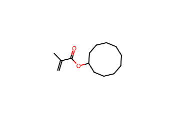 C=C(C)C(=O)OC1CCCCCCCCC1